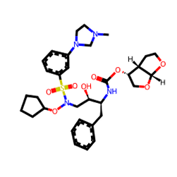 CN1CCN(c2cccc(S(=O)(=O)N(C[C@@H](O)[C@H](Cc3ccccc3)NC(=O)O[C@H]3CO[C@H]4OCC[C@H]43)OC3CCCC3)c2)C1